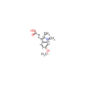 COc1ccc2c(CCC(=O)O)c(C)n(C)c2c1